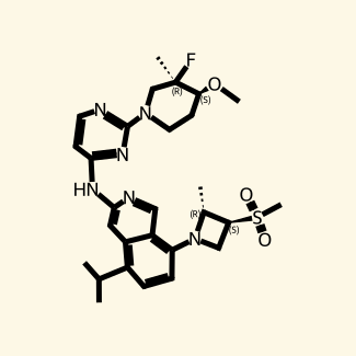 CO[C@H]1CCN(c2nccc(Nc3cc4c(C(C)C)ccc(N5C[C@H](S(C)(=O)=O)[C@H]5C)c4cn3)n2)C[C@@]1(C)F